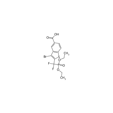 CCOP(=O)(OCC)C(F)(F)c1sc2ccc(C(=O)O)cc2c1Br